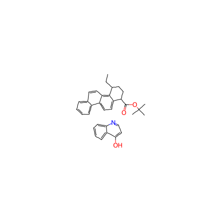 CCC1CCC(C(=O)OC(C)(C)C)c2ccc3c(ccc4ccccc43)c21.Oc1ccnc2ccccc12